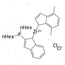 CCCCCCP(CCCCCC)C1=Cc2ccccc2[CH]1[Zr+2][CH]1C=Cc2c(C)ccc(C)c21.[Cl-].[Cl-]